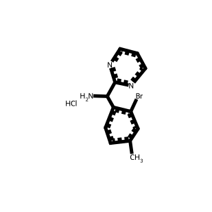 Cc1ccc(C(N)c2ncccn2)c(Br)c1.Cl